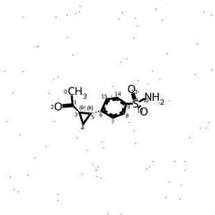 CC(=O)[C@@H]1C[C@H]1c1ccc(S(N)(=O)=O)cc1